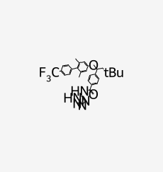 Cc1cc(OC(CC(C)(C)C)c2ccc(C(=O)Nc3nnn[nH]3)cc2)cc(C)c1-c1ccc(C(F)(F)F)cc1